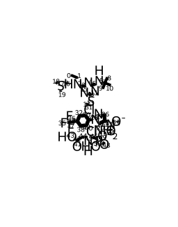 CCNc1nc(NC(C)(C)C)nc(SC)n1.C[S+](C)C.Nc1c([N+](=O)[O-])cnn1-c1c(Cl)cc(C(F)(F)F)cc1Cl.O=C(O)CNCP(=O)([O-])O